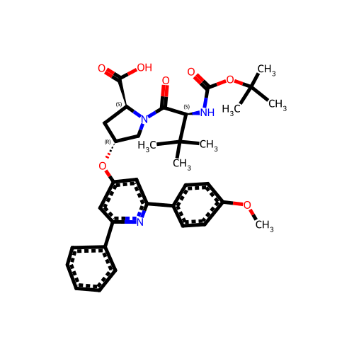 COc1ccc(-c2cc(O[C@@H]3C[C@@H](C(=O)O)N(C(=O)[C@@H](NC(=O)OC(C)(C)C)C(C)(C)C)C3)cc(-c3ccccc3)n2)cc1